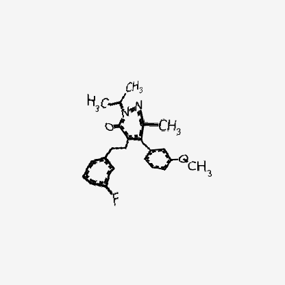 COc1cccc(-c2c(C)nn(C(C)C)c(=O)c2CCc2cccc(F)c2)c1